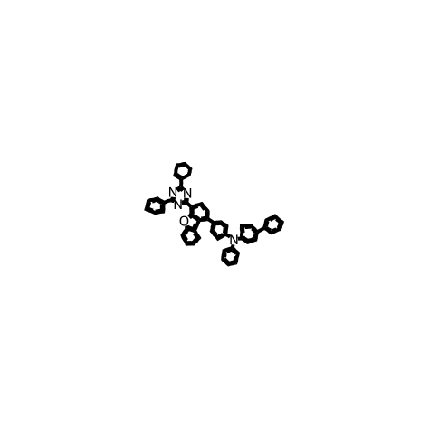 C1=CCCC(c2nc(-c3ccccc3)nc(-c3ccc(-c4ccc(N(c5ccccc5)c5ccc(-c6ccccc6)cc5)cc4)c4c3oc3ccccc34)n2)=C1